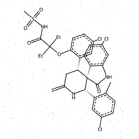 CCC(CC)(Oc1ccc(Cl)cc1[C@H]1CC(=S)N[C@@H](c2cc(Cl)ccc2C)[C@]12C(=O)Nc1cc(Cl)ccc12)C(=O)NS(C)(=O)=O